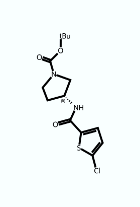 CC(C)(C)OC(=O)N1CC[C@@H](NC(=O)c2ccc(Cl)s2)C1